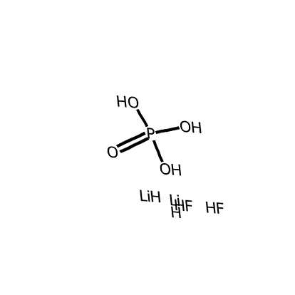 F.F.O=P(O)(O)O.[LiH].[LiH]